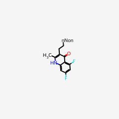 CCCCCCCCCCCc1c(C)[nH]c2cc(F)cc(F)c2c1=O